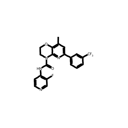 Cc1cc(-c2cccc(C(F)(F)F)c2)nc2c1OCCN2C(=O)Nc1ccncc1F